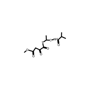 COC(=O)CC(=O)C(=O)SC(C)CNC(=O)C(C)C